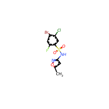 Cc1cc(NS(=O)(=O)c2cc(Cl)c(Br)cc2F)no1